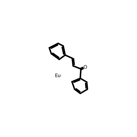 O=C(C=Cc1ccccc1)c1ccccc1.[Eu]